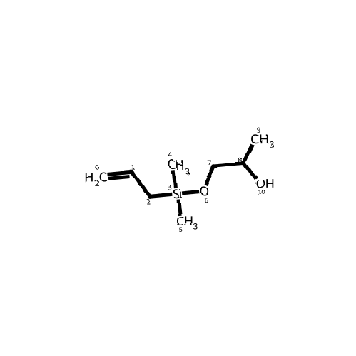 C=CC[Si](C)(C)OCC(C)O